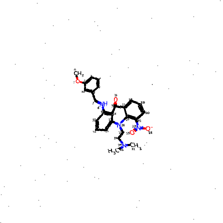 COc1cccc(CNc2cccc3c2c(=O)c2cccc([N+](=O)[O-])c2n3CCN(C)C)c1